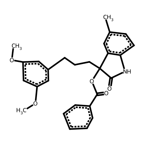 COc1cc(CCCC2(OC(=O)c3ccccc3)C(=O)Nc3ccc(C)cc32)cc(OC)c1